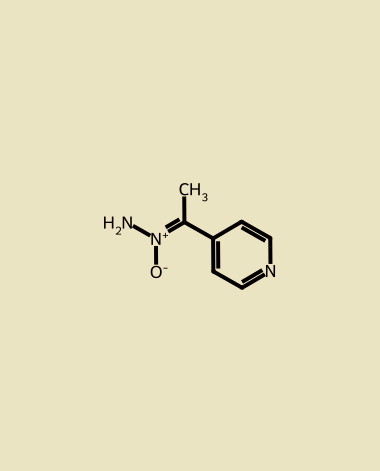 CC(c1ccncc1)=[N+](N)[O-]